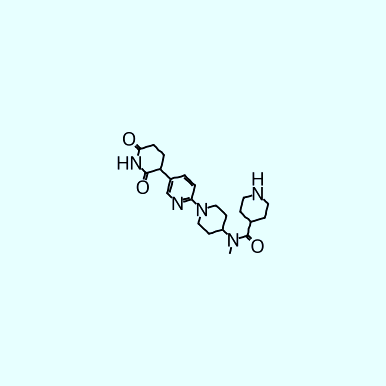 CN(C(=O)C1CCNCC1)C1CCN(c2ccc(C3CCC(=O)NC3=O)cn2)CC1